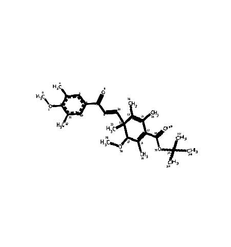 COc1c(C)cc(C(=O)C=CC2(C)C(C)=C(C)C(C(=O)OC(C)(C)C)=C(C)C2OC)cc1C